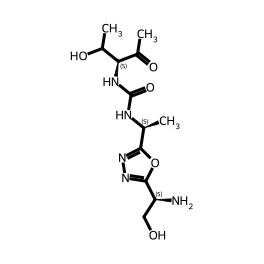 CC(=O)[C@@H](NC(=O)N[C@@H](C)c1nnc([C@@H](N)CO)o1)C(C)O